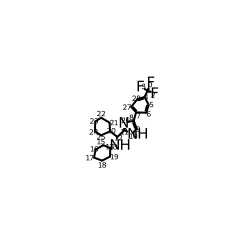 FC(F)(F)c1ccc(-c2c[nH]c([C@@H](NC3CCCCC3)C3CCCCC3)n2)cc1